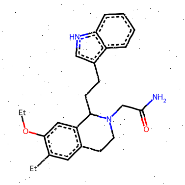 CCOc1cc2c(cc1CC)CCN(CC(N)=O)C2CCc1c[nH]c2ccccc12